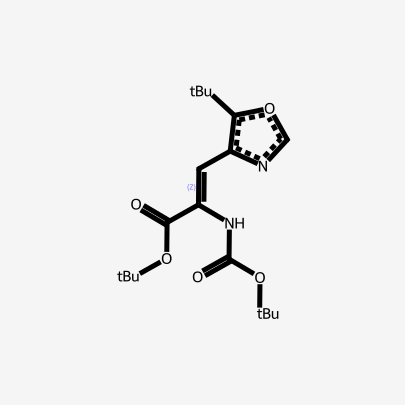 CC(C)(C)OC(=O)N/C(=C\c1ncoc1C(C)(C)C)C(=O)OC(C)(C)C